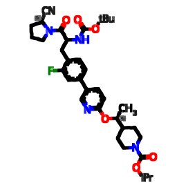 CC(C)OC(=O)N1CCC([C@H](C)Oc2ccc(-c3ccc(CC(NC(=O)OC(C)(C)C)C(=O)N4CCC[C@H]4C#N)c(F)c3)cn2)CC1